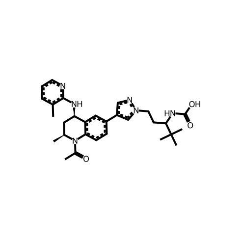 CC(=O)N1c2ccc(-c3cnn(CCC(NC(=O)O)C(C)(C)C)c3)cc2[C@H](Nc2ncccc2C)C[C@@H]1C